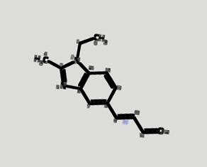 CCn1c(C)nc2cc(/C=C/C=O)ccc21